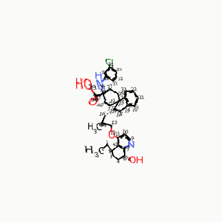 CC[C@@H]1CC[C@@H](O)c2nccc(OC[C@H](C)C[C@H]3Cc4ccccc4C34CCC(Nc3cccc(Cl)c3)(C(=O)O)CC4)c21